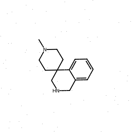 CN1CCC2(CC1)CNCc1ccccc12